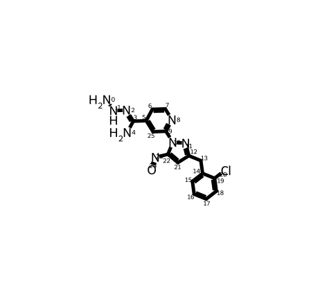 NN/N=C(\N)c1ccnc(-n2nc(Cc3ccccc3Cl)cc2N=O)c1